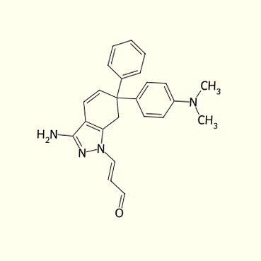 CN(C)c1ccc(C2(c3ccccc3)C=Cc3c(N)nn(C=CC=O)c3C2)cc1